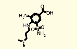 CN(C)CCCNc1c(N)cc(C(=O)O)cc1S(N)(=O)=O